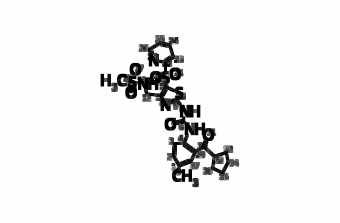 Cc1ccc(NC(=O)Nc2nc(CNS(C)(=O)=O)c(S(=O)(=O)c3ccccn3)s2)c(C(=O)C2CCCC2)c1